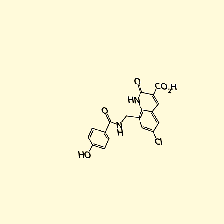 O=C(NCc1cc(Cl)cc2cc(C(=O)O)c(=O)[nH]c12)c1ccc(O)cc1